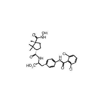 CC1(C)[C@@H](C(=O)N[C@@H](Cc2ccc(NC(=O)c3c(Cl)cccc3Cl)cc2)C(=O)O)CC[C@@]1(C)C(=O)NO